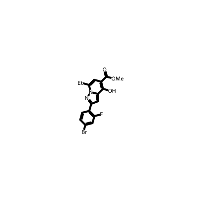 CCc1cc(C(=O)OC)c(O)c2cc(-c3ccc(Br)cc3F)nn12